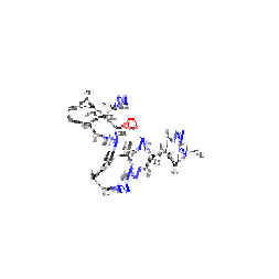 C[C@@H]1CN(c2ccnn3cc(-c4cnn(C)c4)nc23)C(=O)[C@]1(C#N)C1CC1